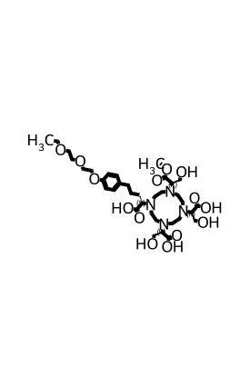 CCOCCOCCOc1ccc(CCC[C@@H](C(=O)O)N2CCN([C@H](CO)C(=O)O)CCN([C@H](CO)C(=O)O)CCN([C@H](CO)C(=O)OC)CC2)cc1